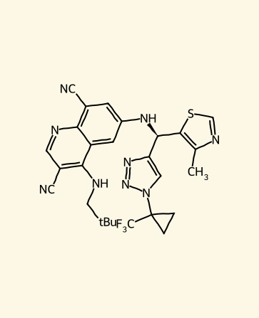 Cc1ncsc1[C@H](Nc1cc(C#N)c2ncc(C#N)c(NCC(C)(C)C)c2c1)c1cn(C2(C(F)(F)F)CC2)nn1